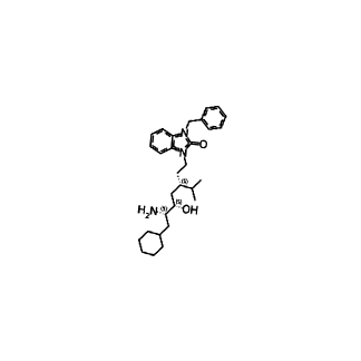 CC(C)[C@@H](CCn1c(=O)n(Cc2ccccc2)c2ccccc21)C[C@H](O)[C@@H](N)CC1CCCCC1